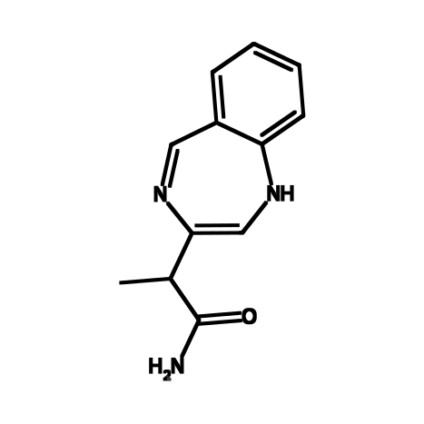 CC(C(N)=O)C1=CNc2ccccc2C=N1